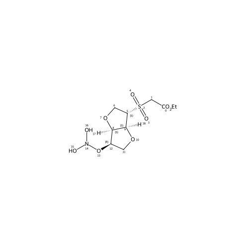 CCOC(=O)CS(=O)(=O)[C@H]1CO[C@H]2[C@@H]1OC[C@H]2ON(O)O